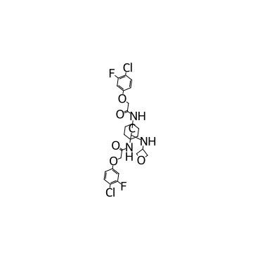 O=C(COc1ccc(Cl)c(F)c1)NC12CCC(NC(=O)COc3ccc(Cl)c(F)c3)(CC1)C(NC1COC1)C2